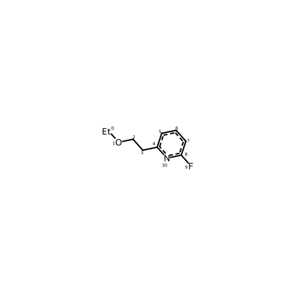 CCOCCc1cccc(F)n1